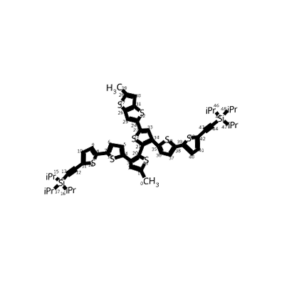 Cc1cc(-c2ccc(-c3ccc(C#C[Si](C(C)C)(C(C)C)C(C)C)s3)s2)c(-c2sc(-c3cc4sc(C)cc4s3)cc2-c2ccc(-c3ccc(C#C[Si](C(C)C)(C(C)C)C(C)C)s3)s2)s1